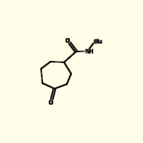 CC(C)(C)NC(=O)C1CCCC(=O)CC1